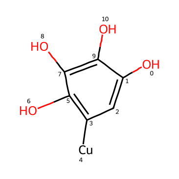 Oc1c[c]([Cu])c(O)c(O)c1O